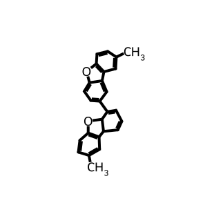 Cc1ccc2c(c1)C1C=CC=C(c3ccc4oc5ccc(C)cc5c4c3)C1O2